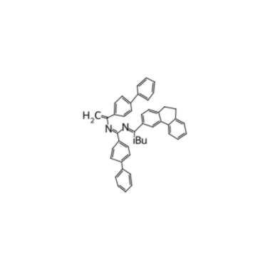 C=C(/N=C(\N=C(\c1ccc2c(c1)-c1ccccc1CC2)C(C)CC)c1ccc(-c2ccccc2)cc1)c1ccc(-c2ccccc2)cc1